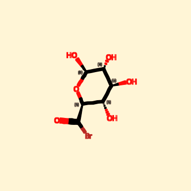 O=C(Br)[C@H]1O[C@@H](O)[C@H](O)[C@@H](O)[C@@H]1O